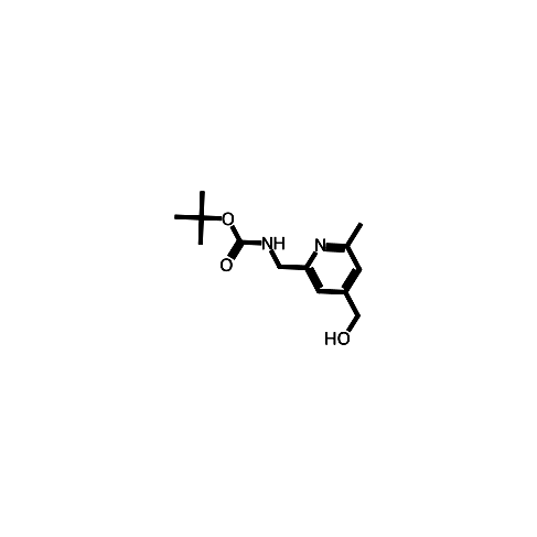 Cc1cc(CO)cc(CNC(=O)OC(C)(C)C)n1